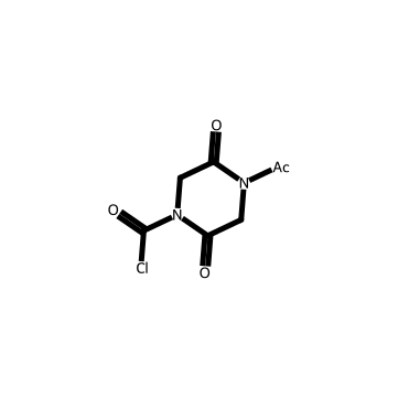 CC(=O)N1CC(=O)N(C(=O)Cl)CC1=O